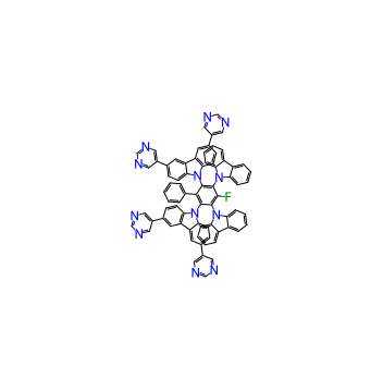 Fc1c(-n2c3ccccc3c3ccccc32)c(-n2c3ccc(-c4cncnc4)cc3c3cc(-c4cncnc4)ccc32)c(-c2ccccc2)c(-n2c3ccc(-c4cncnc4)cc3c3cc(-c4cncnc4)ccc32)c1-n1c2ccccc2c2ccccc21